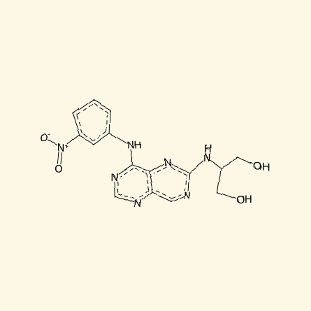 O=[N+]([O-])c1cccc(Nc2ncnc3cnc(NC(CO)CO)nc23)c1